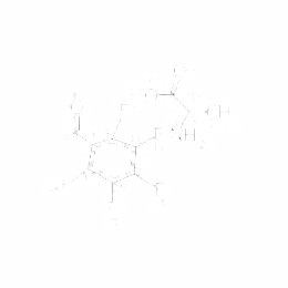 C[C@H](N)C(=O)O.O=Cc1c(F)c(F)c(F)c(F)c1F